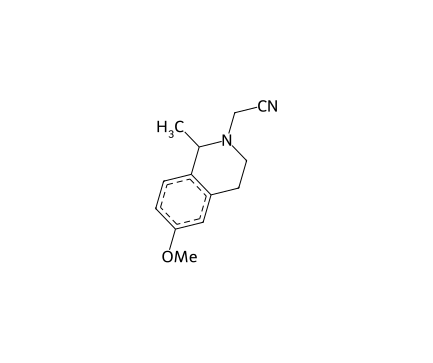 COc1ccc2c(c1)CCN(CC#N)C2C